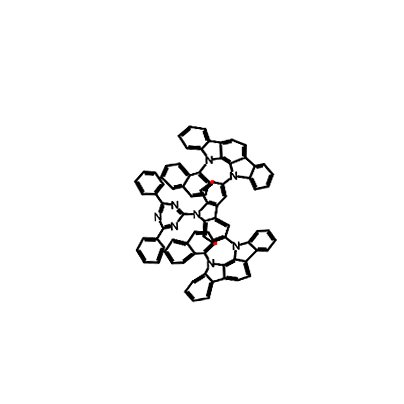 c1ccc(-c2nc(-c3ccccc3)nc(-n3c4ccc(-n5c6ccccc6c6ccc7c8ccccc8n(-c8cccc9ccccc89)c7c65)cc4c4cc(-n5c6ccccc6c6ccc7c8ccccc8n(-c8cccc9ccccc89)c7c65)ccc43)n2)cc1